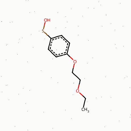 CCOCCOc1ccc(SO)cc1